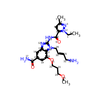 CCn1nc(C)cc1C(=O)Nc1nc2cc(C(N)=O)cc(OCCCOC)c2n1C/C=C/CN